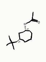 CC(=O)O[C@@H]1CCC[C@@H](C(C)(C)C)C1